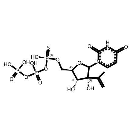 C=C(C)[C@]1(O)C(n2ccc(=O)[nH]c2=O)O[C@H](CO[P@@](O)(=S)OP(=O)(O)OP(=O)(O)O)[C@H]1O